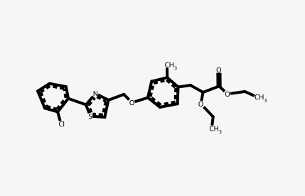 CCOC(=O)C(Cc1ccc(OCc2csc(-c3ccccc3Cl)n2)cc1C)OCC